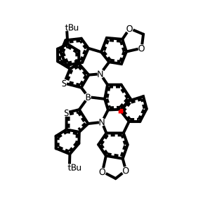 CC(C)(C)c1ccc2sc3c(c2c1)N(c1cc2c(cc1-c1ccccc1)OCO2)c1cccc2c1B3c1sc3ccc(C(C)(C)C)cc3c1N2c1cc2c(cc1-c1ccccc1)OCO2